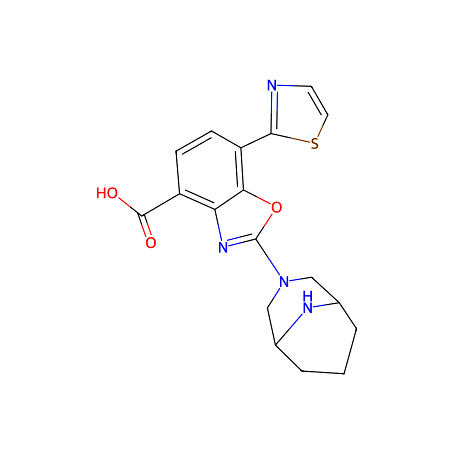 O=C(O)c1ccc(-c2nccs2)c2oc(N3CC4CCCC(C3)N4)nc12